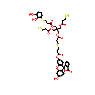 O=C(CCS)OCC(COC(=O)CCS)(COC(=O)CCSCCC(=O)Oc1ccc2c(c1)Oc1cc(O)ccc1C21OC(=O)c2ccccc21)COC(=O)CCSc1cccc(O)c1O